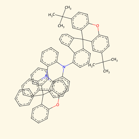 CC(C)(C)c1ccc2c(c1)C1(c3cc(C(C)(C)C)ccc3O2)c2ccccc2-c2c(N(c3ccc4c(c3)C(c3ccccc3)(c3ccccc3)c3ccccc3O4)c3ccccc3-n3c4ccccc4c4ccccc43)cccc21